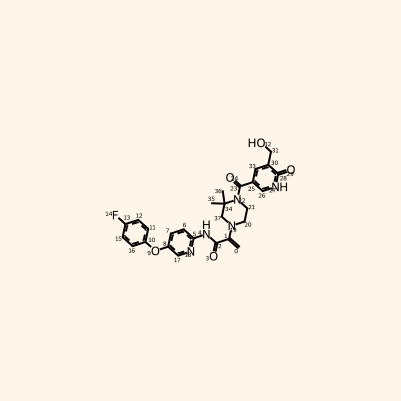 C=C(C(=O)Nc1ccc(Oc2ccc(F)cc2)cn1)N1CCN(C(=O)c2c[nH]c(=O)c(CO)c2)C(C)(C)C1